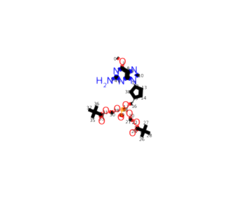 COc1nc(N)nc2c1ncn2[C@@H]1C=C[C@H](COP(=O)(OCOC(=O)C(C)(C)C)OCOC(=O)C(C)(C)C)C1